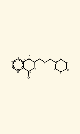 O=C1CC(CCCN2CCCCC2)Oc2ccccc21